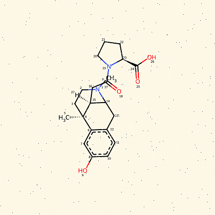 CN1CC[C@]2(C)c3cc(O)ccc3CC1[C@@H]2CC(=O)N1CCC[C@H]1C(=O)O